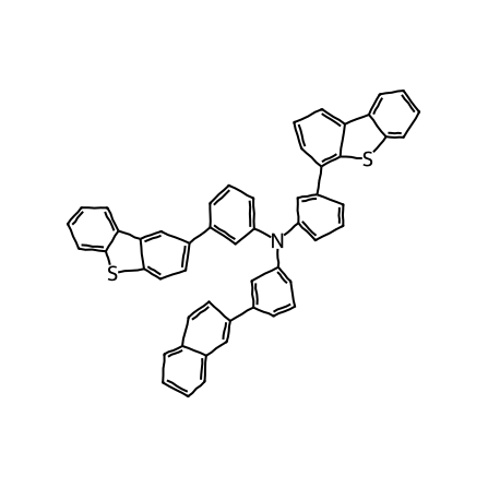 c1cc(-c2ccc3ccccc3c2)cc(N(c2cccc(-c3ccc4sc5ccccc5c4c3)c2)c2cccc(-c3cccc4c3sc3ccccc34)c2)c1